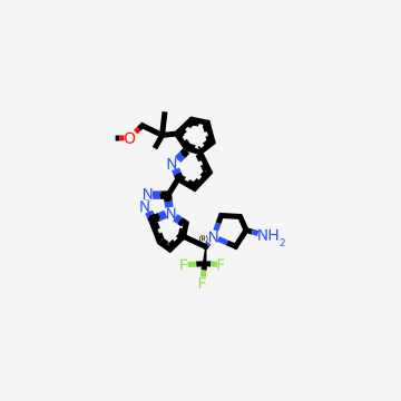 COCC(C)(C)c1cccc2ccc(-c3nnc4ccc([C@@H](N5CCC(N)C5)C(F)(F)F)cn34)nc12